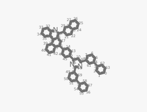 c1ccc(-c2cccc(-c3cc(-c4ccc(-c5cc6c(-c7ccc8ccccc8c7)nc7ccccc7c6c6ccccc56)cc4)nc(-c4cccc(-c5ccccc5)c4)n3)c2)cc1